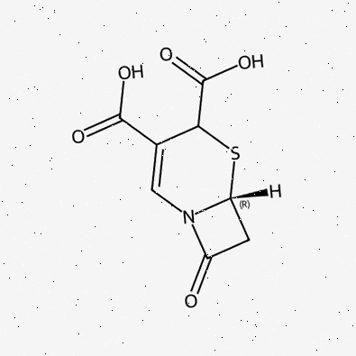 O=C(O)C1=CN2C(=O)C[C@H]2SC1C(=O)O